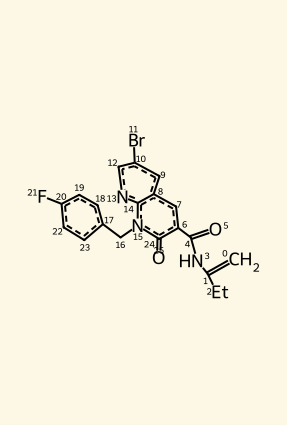 C=C(CC)NC(=O)c1cc2cc(Br)cnc2n(Cc2ccc(F)cc2)c1=O